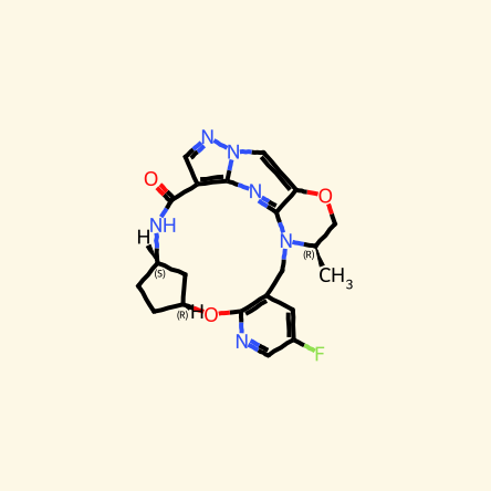 C[C@@H]1COc2cn3ncc4c3nc2N1Cc1cc(F)cnc1O[C@@H]1CC[C@@H](C1)NC4=O